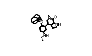 CSNc1ccc(OC23CC4CC(C2)C(C)(O)C(C4)C3)c(-c2cn(C)c(=O)c3[nH]ccc23)c1